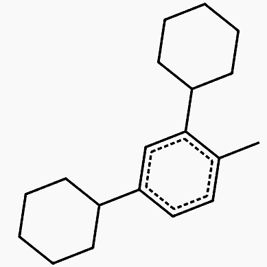 Cc1ccc(C2CCCCC2)cc1C1CCCCC1